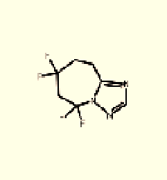 FC1(F)CCc2ncnn2C(F)(F)C1